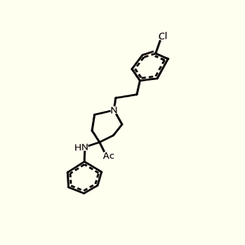 CC(=O)C1(Nc2ccccc2)CCN(CCc2ccc(Cl)cc2)CC1